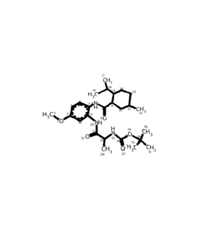 COc1ccc(NC(=O)C2CC(C)CCC2C(C)C)c(NC(=O)C(C)NC(=O)OC(C)(C)C)c1